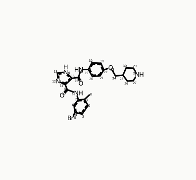 Cc1ccc(Br)cc1NC(=O)c1nc[nH]c1C(=O)Nc1ccc(OCC2CCNCC2)cc1